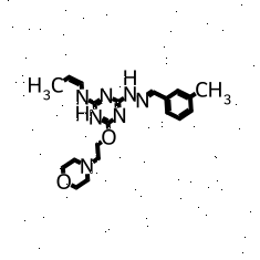 C/C=C\Nc1nc(N/N=C/c2cccc(C)c2)nc(OCCN2CCOCC2)n1